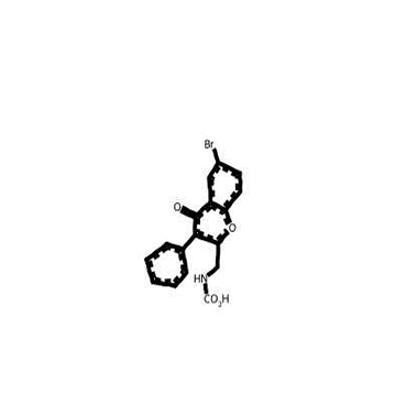 O=C(O)NCc1oc2ccc(Br)cc2c(=O)c1-c1ccccc1